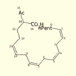 CCCCC/C=C\C/C=C\C/C=C\C/C=C\CCC(C(C)=O)C(=O)O